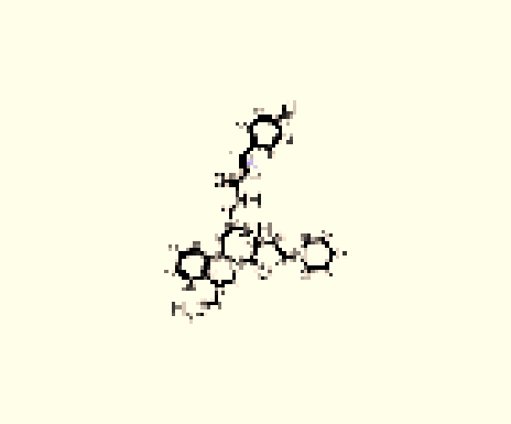 CC[C@H](CN1CC[C@@H](CNC(=O)/C=C/c2ccc(Cl)cc2)N[C@@H](CCN2CCCCC2)C1=O)c1ccccc1